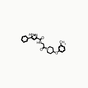 Cc1cccc(OC2CCN(C(=O)CNC(=O)c3cc(-c4ccccc4)[nH]n3)CC2)c1